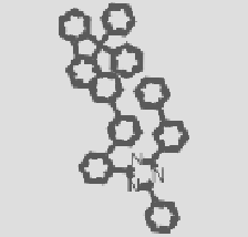 c1ccc(-c2cccc(-c3nc(-c4ccccc4)nc(-c4ccccc4-c4cccc(-c5ccc6c7c(ccc6c5)-c5ccccc5C7(c5ccccc5)c5ccccc5)c4)n3)c2)cc1